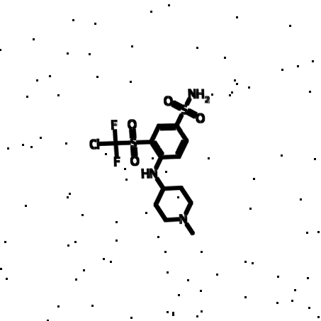 CN1CCC(Nc2ccc(S(N)(=O)=O)cc2S(=O)(=O)C(F)(F)Cl)CC1